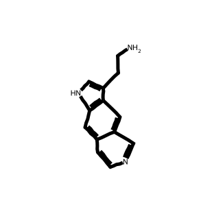 NCCc1c[nH]c2cc3ccncc3cc12